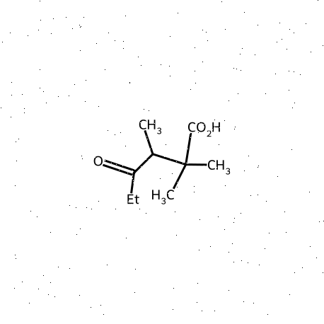 CCC(=O)C(C)C(C)(C)C(=O)O